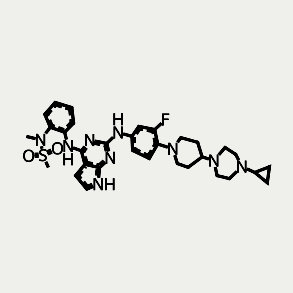 CN(c1ccccc1Nc1nc(Nc2ccc(N3CCC(N4CCN(C5CC5)CC4)CC3)c(F)c2)nc2[nH]ccc12)S(C)(=O)=O